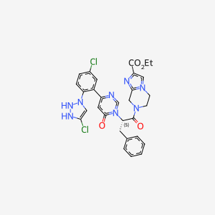 CCOC(=O)c1cn2c(n1)CN(C(=O)[C@H](Cc1ccccc1)n1cnc(-c3cc(Cl)ccc3N3C=C(Cl)NN3)cc1=O)CC2